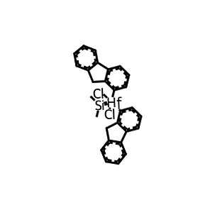 C[Si](C)=[Hf]([Cl])([Cl])([c]1cccc2c1Cc1ccccc1-2)[c]1cccc2c1Cc1ccccc1-2